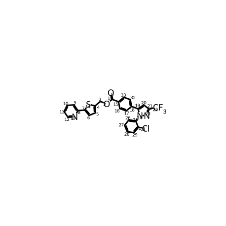 O=C(OCc1ccc(-c2ccccn2)s1)c1ccc(-c2cc(C(F)(F)F)nn2-c2ccccc2Cl)cc1